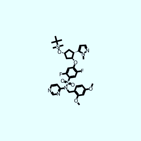 COc1ccc(CN(c2ccncn2)S(=O)(=O)c2cc(F)c(O[C@H]3C[C@H](O[Si](C)(C)C(C)(C)C)C[C@@H]3c3ccnn3C)cc2F)c(OC)c1